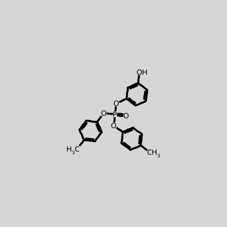 Cc1ccc(OP(=O)(Oc2ccc(C)cc2)Oc2cccc(O)c2)cc1